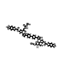 CC(C)C(NC(=O)OC(C)(C)C)C(=O)N1C[C@H](OC(=O)N2Cc3cc4c(cc3C2)OCO4)C[C@H]1c1nc(-c2ccc(-c3ccc(-c4cnc([C@@H]5C[C@@H](OC(=O)N6Cc7cc8c(cc7C6)OCO8)CN5C(=O)CNC(=O)OC(C)(C)C)[nH]4)cc3)cc2)c[nH]1